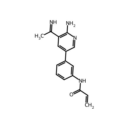 C=CC(=O)Nc1cccc(-c2cnc(N)c(C(C)=N)c2)c1